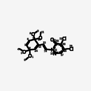 COC1(OC)C=CC(OC)(OC)C(/C=C/n2ncc(Cl)c(Cl)c2=O)=C1